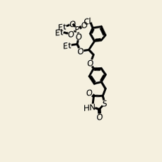 CCOP(=O)(OCC)OC(CC)OC(COc1ccc(CC2SC(=O)NC2=O)cc1)c1cccc(Cl)c1